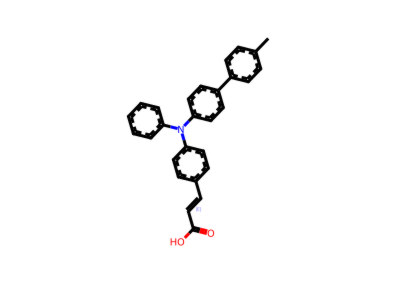 Cc1ccc(-c2ccc(N(c3ccccc3)c3ccc(/C=C/C(=O)O)cc3)cc2)cc1